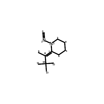 C=NN1CCCC/C1=C(/C)C(C)(C)C